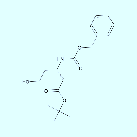 CC(C)(C)OC(=O)C[C@H](CCO)NC(=O)OCc1ccccc1